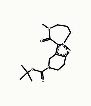 CN1CCCn2nc3c(c2C1=O)CN(C(=O)OC(C)(C)C)CC3